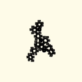 c1ccc(-c2ccc(-c3ccc(N(c4ccc(-c5cccc6c5oc5ccccc56)cc4)c4ccccc4-c4cccc5oc6c7ccccc7ccc6c45)cc3)cc2)cc1